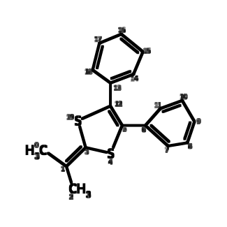 CC(C)=C1SC(c2ccccc2)=C(c2ccccc2)S1